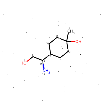 CC1(O)CCC([C@@H](N)CO)CC1